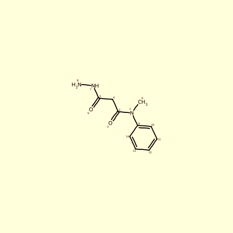 CN(C(=O)CC(=O)NN)c1ccccc1